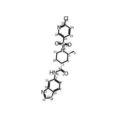 C[C@H]1C[C@H](C(=O)Nc2ccc3scnc3c2)CCN1S(=O)(=O)c1ccc(Cl)nc1